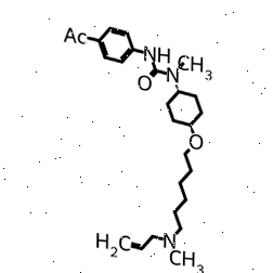 C=CCN(C)CCCCCCO[C@H]1CC[C@H](N(C)C(=O)Nc2ccc(C(C)=O)cc2)CC1